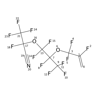 C=C(F)C(F)(F)OC(F)(C(F)(F)F)C(F)(F)OC(F)(C#N)C(F)(F)F